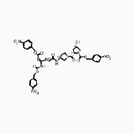 O=C(CN/C(=N\C(=O)OCc1ccc([N+](=O)[O-])cc1)NC(=O)OCc1ccc([N+](=O)[O-])cc1)N[C@H]1CCN(C(=O)[C@@H]2C[C@H](S)CN2C(=O)OCc2ccc([N+](=O)[O-])cc2)C1